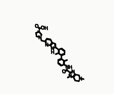 Cc1c(NC(=O)c2nc3c(n2C)CCN(C)C3)cccc1-c1cccc(-c2cc3ccc(CN4CC[C@@H](C(=O)O)C4)nc3[nH]2)c1C